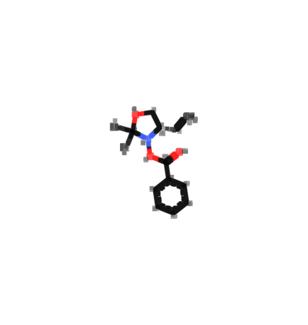 C=C[C@H]1COC(CC)(CC)N1OC(=O)c1ccccc1